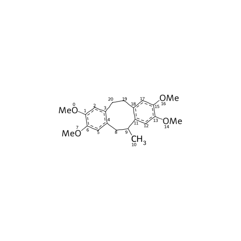 COc1cc2c(cc1OC)CC(C)c1cc(OC)c(OC)cc1CC2